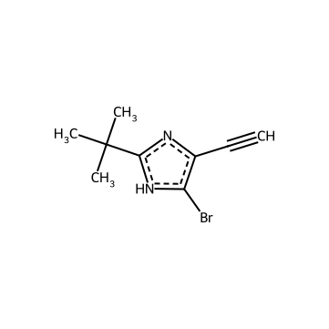 C#Cc1nc(C(C)(C)C)[nH]c1Br